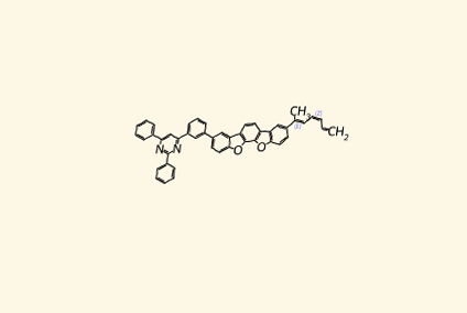 C=C/C=C\C=C(/C)c1ccc2oc3c(ccc4c5cc(-c6cccc(-c7cc(-c8ccccc8)nc(-c8ccccc8)n7)c6)ccc5oc43)c2c1